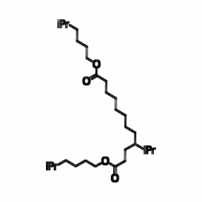 CC(C)CCCCOC(=O)CCCCCCCC(CCC(=O)OCCCCC(C)C)C(C)C